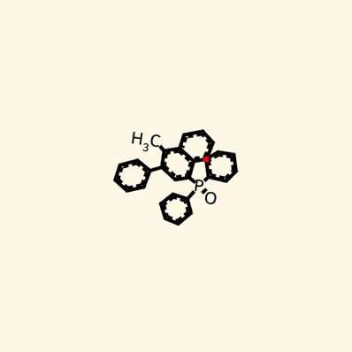 Cc1c(-c2ccccc2)cc(P(=O)(c2ccccc2)c2ccccc2)c2ccccc12